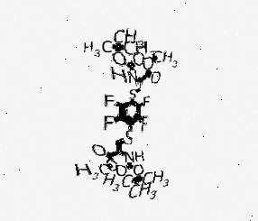 COC(=O)C(CSc1c(F)c(F)c(SC[C@H](NC(=O)OC(C)(C)C)C(=O)OC)c(F)c1F)NC(=O)OC(C)(C)C